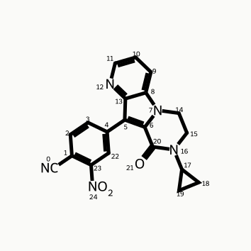 N#Cc1ccc(-c2c3n(c4cccnc24)CCN(C2CC2)C3=O)cc1[N+](=O)[O-]